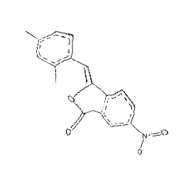 Cc1ccc(C=C2OC(=O)c3cc([N+](=O)[O-])ccc32)c(C)c1